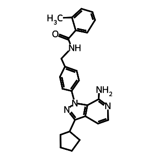 Cc1ccccc1C(=O)NCc1ccc(-n2nc(C3CCCC3)c3ccnc(N)c32)cc1